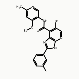 CCOc1cc(C)ncc1NC(=O)c1c(Br)cnc2[nH]c(-c3cccc(F)c3)nc12